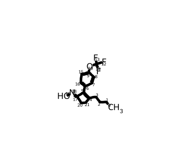 CCCCC1=C(c2ccc(OC(F)(F)F)cc2)/C(=N/O)CC1